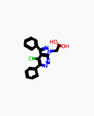 OC(O)Cn1nc(-c2ccccc2)c2c(Cl)c(-c3ccccc3)nnc21